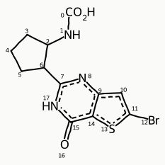 O=C(O)NC1CCCC1c1nc2cc(Br)sc2c(=O)[nH]1